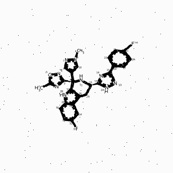 Cc1nc([C@@]2(c3cnn(C)c3)N[C@@H](c3nc(-c4ccc(F)cc4)n[nH]3)Cc3c2[nH]c2ccc(F)cc32)no1